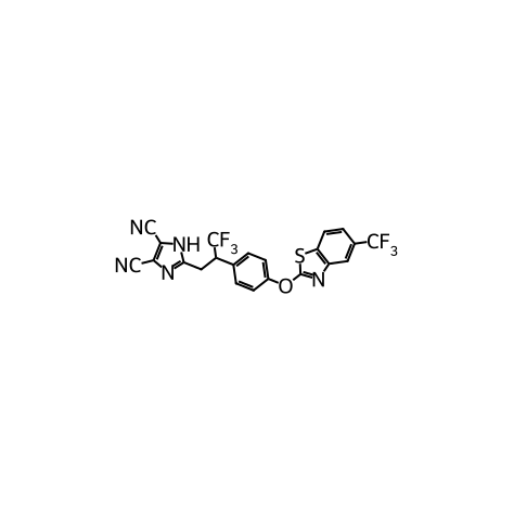 N#Cc1nc(CC(c2ccc(Oc3nc4cc(C(F)(F)F)ccc4s3)cc2)C(F)(F)F)[nH]c1C#N